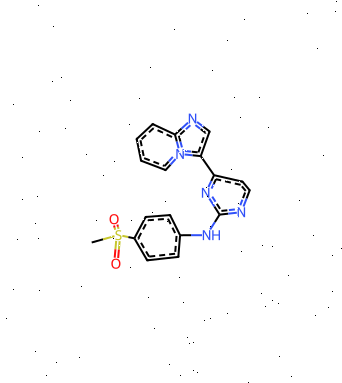 CS(=O)(=O)c1ccc(Nc2nccc(-c3cnc4ccccn34)n2)cc1